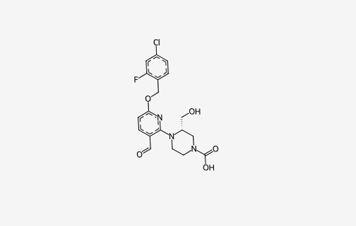 O=Cc1ccc(OCc2ccc(Cl)cc2F)nc1N1CCN(C(=O)O)C[C@H]1CO